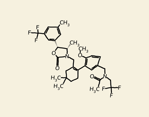 COc1ccc(CN(CC(F)(F)F)C(C)=O)cc1C1=C(CN2C(=O)O[C@H](c3cc(C)cc(C(F)(F)F)c3)[C@@H]2C)CC(C)(C)CC1